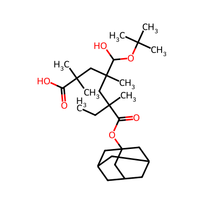 CCC(C)(CC(C)(CC(C)(C)C(=O)O)C(O)OC(C)(C)C)C(=O)OC12CC3CC(CC(C3)C1)C2